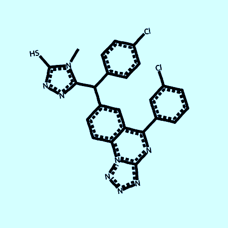 Cn1c(S)nnc1C(c1ccc(Cl)cc1)c1ccc2c(c1)c(-c1cccc(Cl)c1)nc1nnnn12